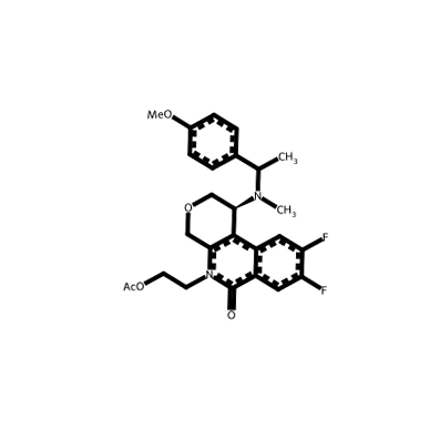 COc1ccc(C(C)N(C)[C@@H]2COCc3c2c2cc(F)c(F)cc2c(=O)n3CCOC(C)=O)cc1